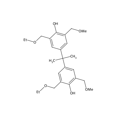 CCOCc1cc(C(C)(C)c2cc(COC)c(O)c(COCC)c2)cc(COC)c1O